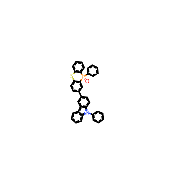 O=P1(c2ccccc2)c2ccccc2Sc2ccc(-c3ccc4c(c3)c3ccccc3n4-c3ccccc3)cc21